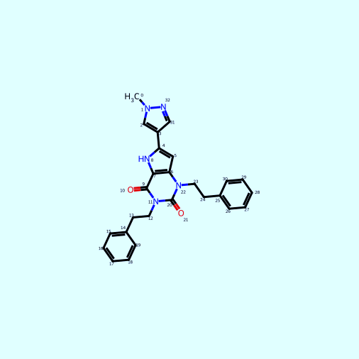 Cn1cc(-c2cc3c([nH]2)c(=O)n(CCc2ccccc2)c(=O)n3CCc2ccccc2)cn1